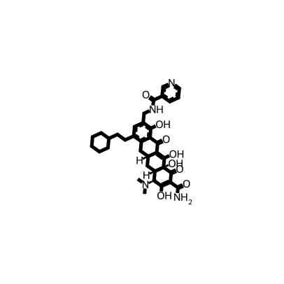 CN(C)[C@@H]1C(O)=C(C(N)=O)C(=O)[C@@]2(O)C(O)=C3C(=O)c4c(O)c(CNC(=O)c5cccnc5)cc(CCC5CCCCC5)c4C[C@H]3C[C@@H]12